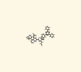 C=C/C=C\c1c(BC)c(/C=C\C)c2ccc(/C(C)=C/C(=C\C=C)c3nc4cc(-c5nc(-c6ccccc6)nc(-c6ccccc6)n5)ccc4o3)cc2c1BC